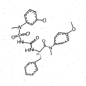 COc1ccc(N(C)C(=O)[C@H](Cc2ccccc2)NC(=O)NS(=O)(=O)N(C)c2cccc(Cl)c2)cc1